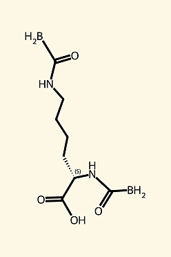 BC(=O)NCCCC[C@H](NC(B)=O)C(=O)O